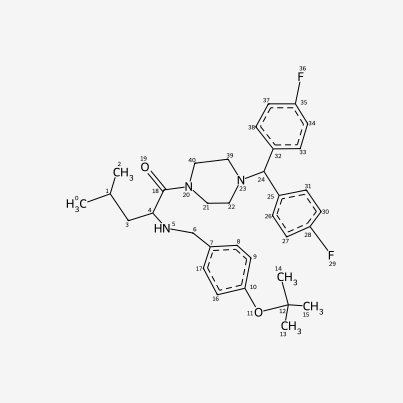 CC(C)CC(NCc1ccc(OC(C)(C)C)cc1)C(=O)N1CCN(C(c2ccc(F)cc2)c2ccc(F)cc2)CC1